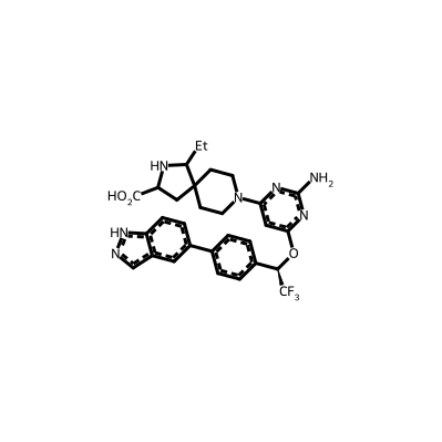 CCC1NC(C(=O)O)CC12CCN(c1cc(O[C@H](c3ccc(-c4ccc5[nH]ncc5c4)cc3)C(F)(F)F)nc(N)n1)CC2